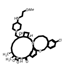 COCCNC1CCN(C[C@]2(O)CCC[C@H](C)C(C)S(=O)(=O)NC(=O)c3ccc4c(c3)N(CCCCc3cc(Cl)ccc3CO4)C[C@@H]3CCC32)CC1